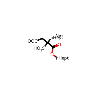 CCCCCCCOC(=O)C(CCCCCCC)(CC(=O)[O-])S(=O)(=O)O.[Na+]